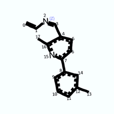 C=C/N=C\c1ccc(-c2cccc(C)c2)nc1C